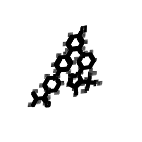 Cc1cnn(C2CCCN(c3cc(Cl)ccc3-c3ccc(N4CCN(C(=O)C(C)C)CC4)cc3)C2)c1C(F)(F)F